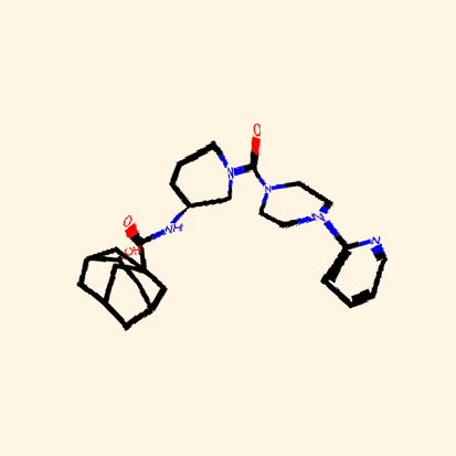 O=C(N1CCN(c2ccccn2)CC1)N1CCC[C@H](NC(=O)C23CC4CC(C2)C(O)C(C4)C3)C1